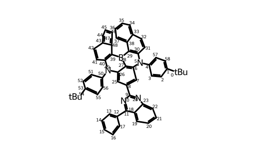 CC(C)(C)c1ccc(N2c3cc(-c4nc(-c5ccccc5)c5ccccc5n4)cc4c3B(c3c2ccc2ccccc32)c2c(ccc3ccccc23)N4c2ccc(C(C)(C)C)cc2)cc1